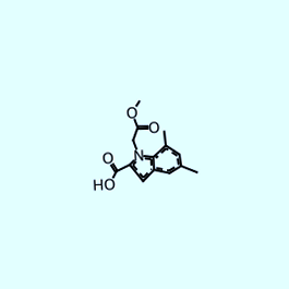 COC(=O)Cn1c(C(=O)O)cc2cc(C)cc(C)c21